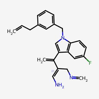 C=CCc1cccc(Cn2cc(C(=C)/C(=C/N)CN=C)c3cc(F)ccc32)c1